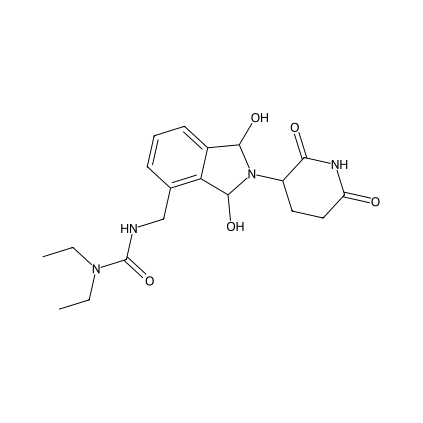 CCN(CC)C(=O)NCc1cccc2c1C(O)N(C1CCC(=O)NC1=O)C2O